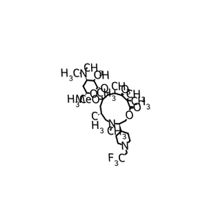 CO[C@]1(C)C[C@@H](C)CN(C)[C@H](C2CCN(CC(F)(F)F)CC2)COC(=O)C(C)(C)C(=O)[C@H](C)[C@H]1O[C@@H]1O[C@H](C)C[C@H](N(C)C)[C@H]1O